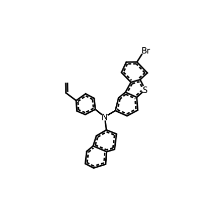 C=Cc1ccc(N(c2ccc3ccccc3c2)c2ccc3sc4cc(Br)ccc4c3c2)cc1